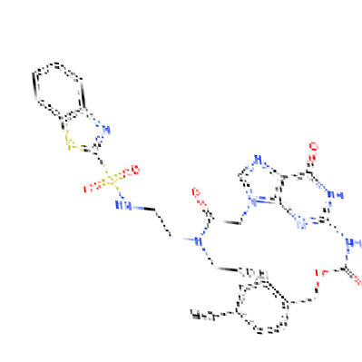 CCOC(=O)CN(CCNS(=O)(=O)c1nc2ccccc2s1)C(=O)Cn1cnc2c(=O)[nH]c(NC(=O)OCc3ccc(OC)cc3)nc21